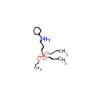 CCCO[Si](CCCNC1CCCCC1)(OCCC)OCCC